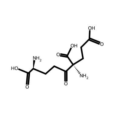 N[C@@H](CCC(=O)[C@](N)(CCC(=O)O)C(=O)O)C(=O)O